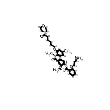 COc1cc(C(=O)N(C)c2ccc(C)cc2OCCCCCC(=O)N2CCOCC2)ccc1NC(=O)c1ccccc1OCCCN